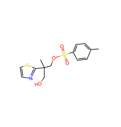 Cc1ccc(S(=O)(=O)OCC(C)(CO)c2nccs2)cc1